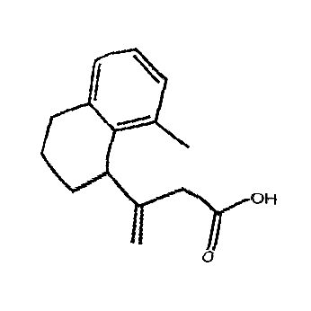 C=C(CC(=O)O)C1CCCc2cccc(C)c21